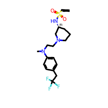 C=CS(=O)(=O)N[C@@H]1CCCN(CCN(C)c2ccc(CC(F)(F)F)cc2)C1